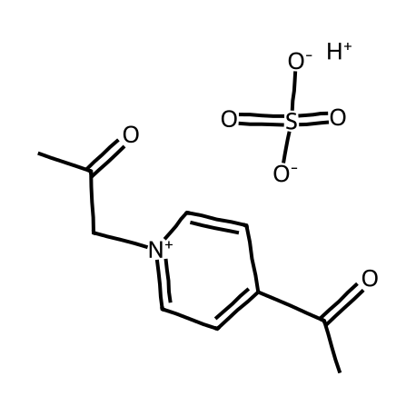 CC(=O)C[n+]1ccc(C(C)=O)cc1.O=S(=O)([O-])[O-].[H+]